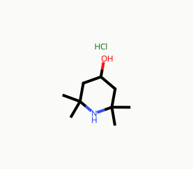 CC1(C)CC(O)CC(C)(C)N1.Cl